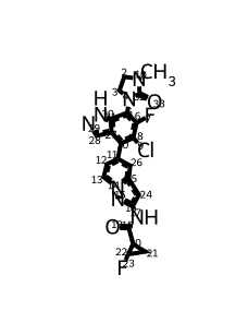 CN1CCN(c2c(F)c(Cl)c(-c3ccn4nc(NC(=O)C5CC5F)cc4c3)c3cn[nH]c23)C1=O